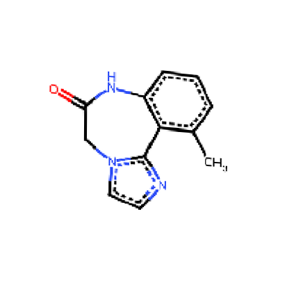 Cc1cccc2c1-c1nccn1CC(=O)N2